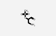 CS(=O)(=O)OC(C=O)CN